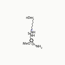 CCCCCCCCCCCCCCCC/C=C/NC(=S)NCc1ccc(OCCN)c(OC)c1